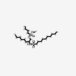 CCCCCCCCCCS(=O)(=O)NC(CCCCCC)COP(=O)(CCCC)OC